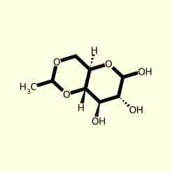 CC1OC[C@H]2OC(O)[C@H](O)[C@@H](O)[C@@H]2O1